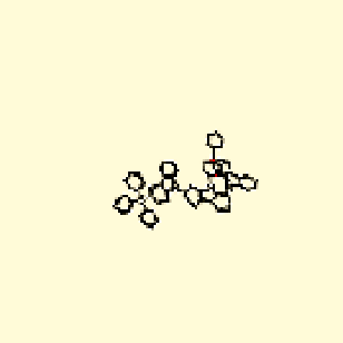 c1ccc(-c2ccc(-n3c4cc(-n5c6ccccc6c6cc([Si](c7ccccc7)(c7ccccc7)c7ccccc7)ccc65)ccc4c4cccc(-n5c6ccccc6c6ccccc65)c43)cc2)cc1